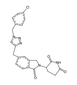 O=C1CCC(N2Cc3cc(Cc4cn(Cc5ccc(Cl)cc5)nn4)ccc3C2=O)C(=O)N1